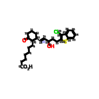 O=C(O)CCCCCC[C@H]1C(=O)CCC[C@@H]1/C=C/C(O)CCc1sc2ccccc2c1Cl